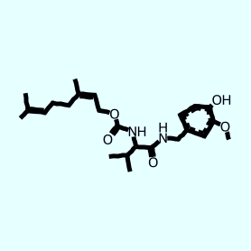 COc1cc(CNC(=O)C(NC(=O)OCC=C(C)CCC=C(C)C)C(C)C)ccc1O